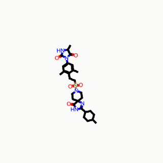 Cc1cc(N2C(=O)NC(C)C2=O)cc(C)c1CCS(=O)(=O)N1CCC2(CC1)N=C(C1CCC(C)CC1)NC2=O